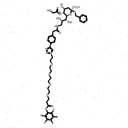 O=C(Cc1ccc(-c2cn(CCOCCOCCOCCOCCC(=O)Oc3c(F)c(F)c(F)c(F)c3F)nn2)cc1)NC[C@@H](O)[C@@H](O)[C@@H]1O[C@@](SCc2ccccc2)(C(=O)O)C[C@H](O)[C@H]1NC(=O)CO